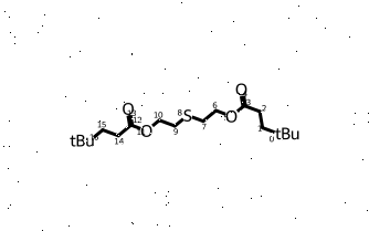 CC(C)(C)CCC(=O)OCCSCCOC(=O)CCC(C)(C)C